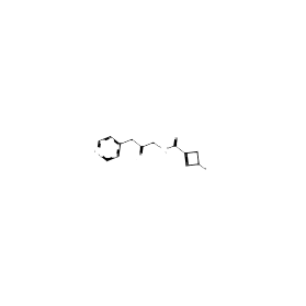 O=C(CNC(=O)C1=CC(F)C1)Cc1ccncc1